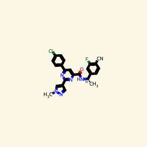 C[C@H](NC(=O)c1cc(-c2ccc(Cl)cc2)nc(-c2cnn(C)c2)n1)c1ccc(C#N)c(F)c1